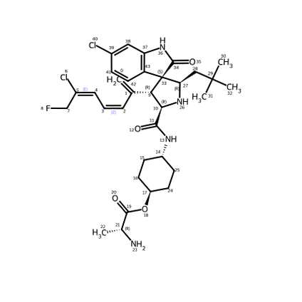 C=C(/C=C\C=C(\Cl)CF)[C@H]1[C@H](C(=O)N[C@H]2CC[C@H](OC(=O)[C@@H](C)N)CC2)N[C@H](CC(C)(C)C)[C@]12C(=O)Nc1cc(Cl)ccc12